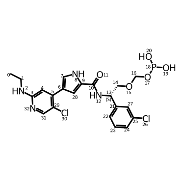 CCNc1cc(-c2c[nH]c(C(=O)N[C@H](COCOP(O)O)c3cccc(Cl)c3)c2)c(Cl)cn1